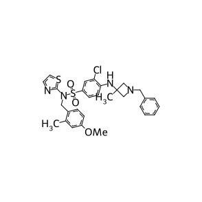 COc1ccc(CN(c2nccs2)S(=O)(=O)c2ccc(NC3(C)CN(Cc4ccccc4)C3)c(Cl)c2)c(C)c1